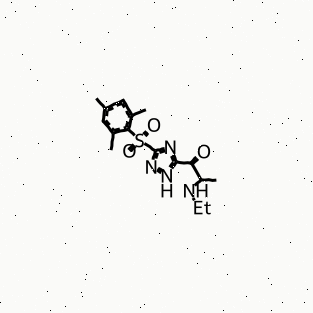 CCNC(C)C(=O)c1nc(S(=O)(=O)c2c(C)cc(C)cc2C)n[nH]1